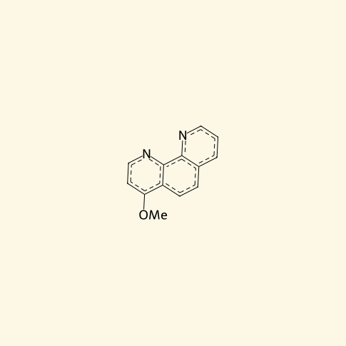 COc1ccnc2c1ccc1cccnc12